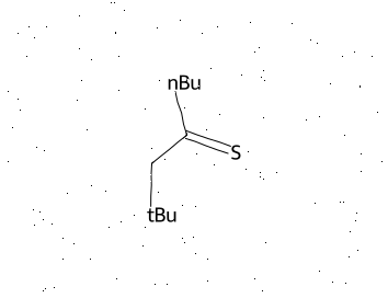 CCCCC(=S)CC(C)(C)C